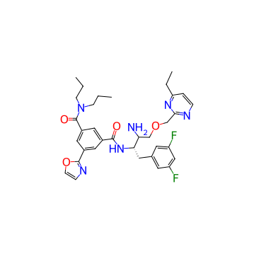 CCCN(CCC)C(=O)c1cc(C(=O)N[C@@H](Cc2cc(F)cc(F)c2)C(N)COCc2nccc(CC)n2)cc(-c2ncco2)c1